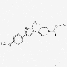 CC(C)(C)OC(=O)N1CC=C(c2cn(-c3ccc(OC(F)(F)F)cc3)nc2C(F)(F)F)CC1